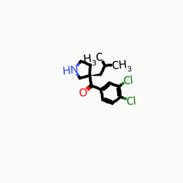 CC(C)C[C@]1(C(=O)c2ccc(Cl)c(Cl)c2)CCNC1